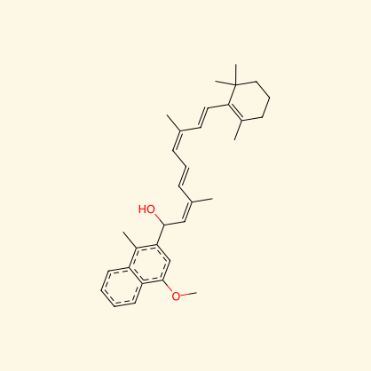 COc1cc(C(O)C=C(C)C=CC=C(C)C=CC2=C(C)CCCC2(C)C)c(C)c2ccccc12